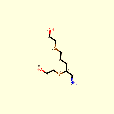 NCC(CCCSCCO)SCCO